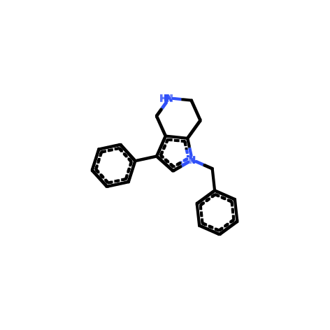 c1ccc(Cn2cc(-c3ccccc3)c3c2CCNC3)cc1